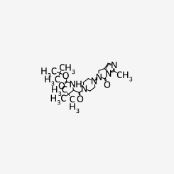 Cc1ncc2n1C(=O)N(N1CCN(C(=O)C(NC(=O)OC(C)(C)C)C(C)(C)C)CC1)C2